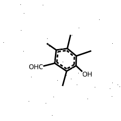 Cc1c(C)c(O)c(C)c(C=O)c1C